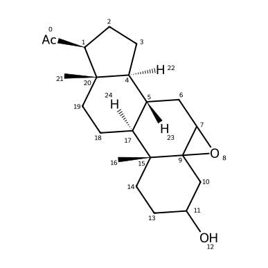 CC(=O)[C@H]1CC[C@H]2[C@@H]3CC4OC45CC(O)CC[C@]5(C)[C@H]3CC[C@]12C